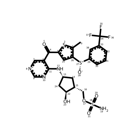 Cc1sc(C(=O)c2cncnc2N[C@@H]2C[C@H](COS(N)(=O)=O)[C@@H](O)C2)cc1[S@@+]([O-])c1cccc(C(F)(F)F)c1